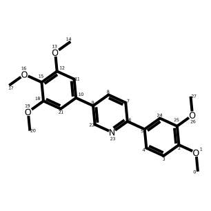 COc1ccc(-c2ccc(-c3cc(OC)c(OC)c(OC)c3)cn2)cc1OC